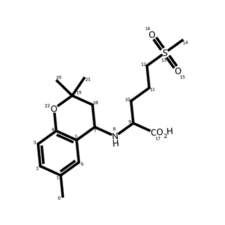 Cc1ccc2c(c1)C(NC(CCCS(C)(=O)=O)C(=O)O)CC(C)(C)O2